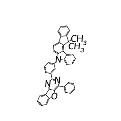 CC1(C)c2ccccc2-c2ccc3c(c21)c1ccccc1n3-c1cccc(-c2nc(-c3ccccc3)c3oc4ccccc4c3n2)c1